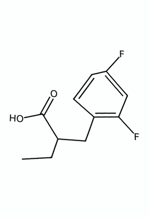 CCC(Cc1ccc(F)cc1F)C(=O)O